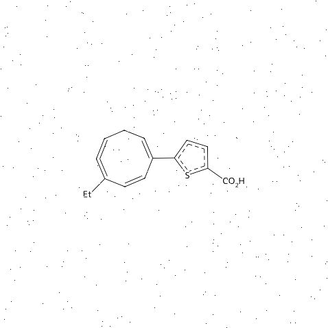 CCC1=C=CC/C=C(c2ccc(C(=O)O)s2)\C=C/1